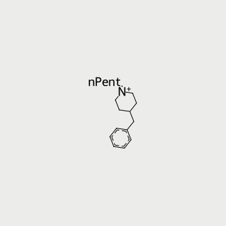 CCCCC[N+]1CCC(Cc2ccccc2)CC1